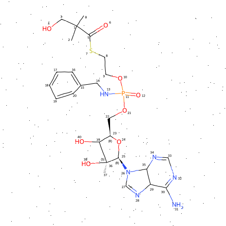 CC(C)(CO)C(=O)SCCOP(=O)(NCc1ccccc1)OC[C@H]1O[C@@H](N2C=NC3C(N)=NC=NC32)[C@@](C)(O)C1O